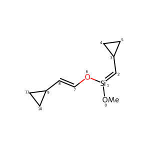 CO[Si](=CC1CC1)OC=CC1CC1